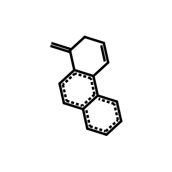 C=C1CC=Cc2c1ccc1ccccc21